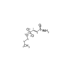 CCCOS(=O)(=O)C=CC(N)=O